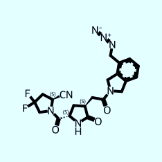 N#C[C@@H]1CC(F)(F)CN1C(=O)[C@@H]1C[C@@H](CC(=O)N2Cc3cccc(CN=[N+]=[N-])c3C2)C(=O)N1